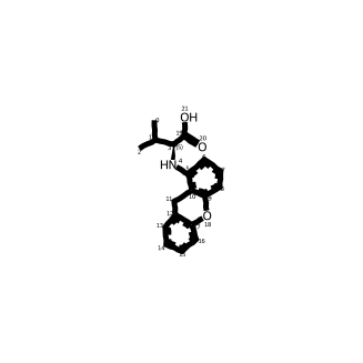 CC(C)[C@H](Nc1cccc2c1Cc1ccccc1O2)C(=O)O